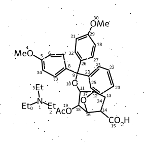 CCN(CC)CC.COc1ccc(C(OC2C3CC(C(=O)O)C(O3)C2OC(C)=O)(c2ccccc2)c2ccc(OC)cc2)cc1